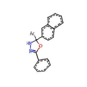 CC(=O)C1(c2ccc3ccccc3c2)NN=C(c2ccccc2)O1